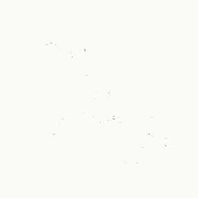 C=C\C=C/C=C(N)/C=C/c1nn(C2CCCCO2)c2cc(Sc3ccccc3C(=O)NC)ccc12